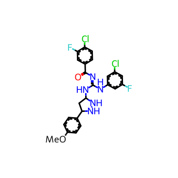 COc1ccc(C2CC(N/C(=N\C(=O)c3ccc(Cl)c(F)c3)Nc3cc(F)cc(Cl)c3)NN2)cc1